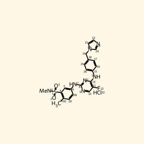 CNS(=O)(=O)c1cc(Nc2ncc(F)c(Nc3ccc(Cn4ccnc4)cc3)n2)ccc1C.Cl